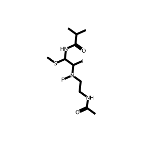 CSC(NC(=O)C(C)C)C(I)N(F)CCNC(C)=O